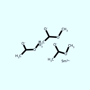 COC(C)[O-].COC(C)[O-].COC(C)[O-].[Sm+3]